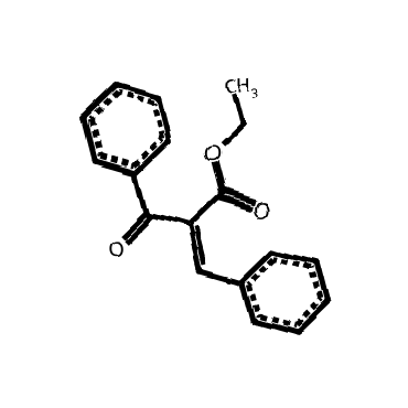 CCOC(=O)C(=Cc1ccccc1)C(=O)c1ccccc1